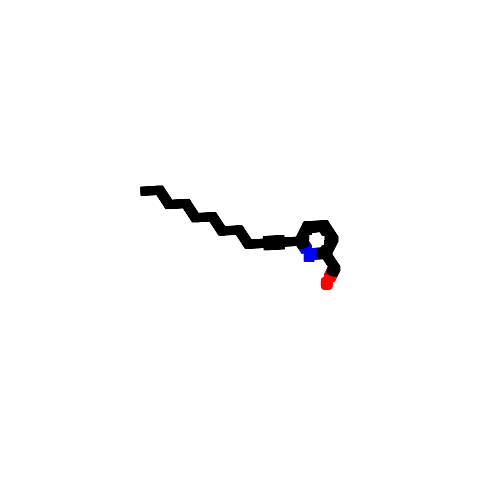 CCCCCCCCCC#Cc1cccc(C=O)n1